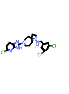 Clc1cc(Cl)cc(CNN2CCC23CCCN(c2nc4ccc(Cl)nc4[nH]2)CC3)c1